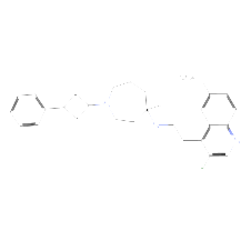 COc1ccc2ncc(Cl)c([C@H](O)CNC3(C(=O)O)CCCN(C4CC(c5ccccc5)C4)CC3)c2c1